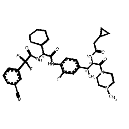 C[C@@H](c1ccc(NC(=O)[C@@H](NC(=O)C(F)(F)c2cccc(C#N)c2)C2CCCCC2)c(F)c1)[C@@H](NC(=O)CC1CC1)C(=O)N1CCN(C)CC1